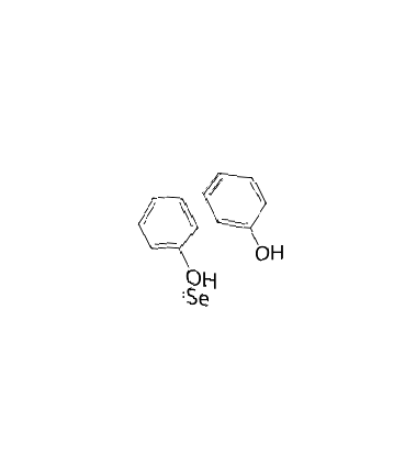 Oc1ccccc1.Oc1ccccc1.[Se]